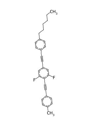 CCCCCCc1ccc(C#Cc2cc(F)c(C#Cc3ccc(C)cc3)c(F)c2)cc1